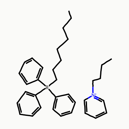 CCCCCCCC[B-](c1ccccc1)(c1ccccc1)c1ccccc1.CCCC[n+]1ccccc1